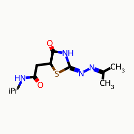 CC(C)=N/N=C1\NC(=O)C(CC(=O)NC(C)C)S1